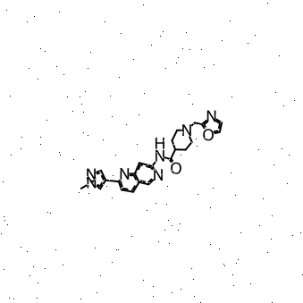 Cn1cc(-c2ccc3cnc(NC(=O)C4CCN(Cc5ncco5)CC4)cc3n2)cn1